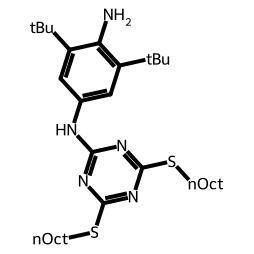 CCCCCCCCSc1nc(Nc2cc(C(C)(C)C)c(N)c(C(C)(C)C)c2)nc(SCCCCCCCC)n1